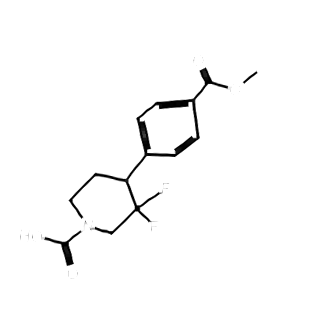 COC(=O)c1ccc(C2CCN(C(=O)O)CC2(F)F)cc1